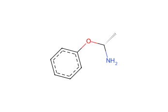 C[C@H](N)Oc1ccccc1